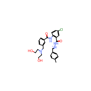 Cc1ccc(/C=N/NC(=O)c2cc(Cl)ccc2NC(=O)c2cccc(CN(CCO)CCO)c2)cc1